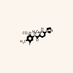 Cc1cc(C(=O)O)c(NC(=O)C2CCC(n3ccnc3)NN2C)cc1F